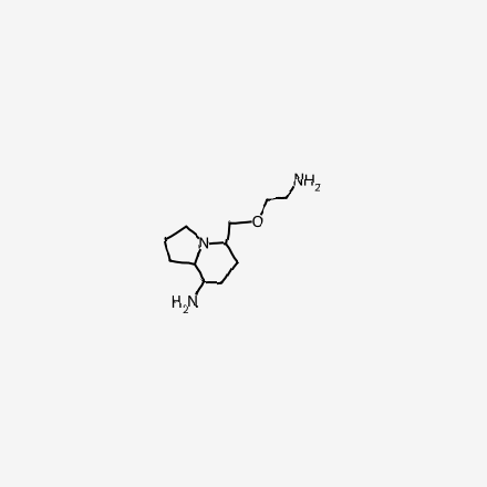 NCCOCC1CCC(N)C2CCCN12